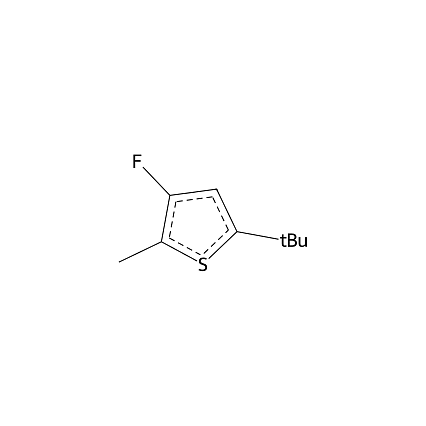 Cc1sc(C(C)(C)C)cc1F